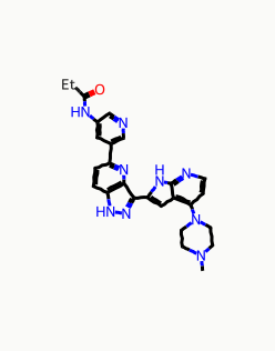 CCC(=O)Nc1cncc(-c2ccc3[nH]nc(-c4cc5c(N6CCN(C)CC6)ccnc5[nH]4)c3n2)c1